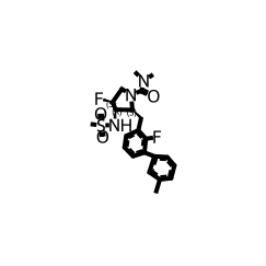 Cc1cccc(-c2cccc(C[C@H]3[C@@H](NS(C)(=O)=O)[C@@H](F)CN3C(=O)N(C)C)c2F)c1